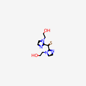 OCCn1ccnc1C(=S)c1nccn1CCO